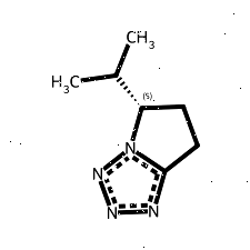 CC(C)[C@@H]1CCc2nnnn21